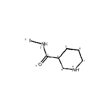 O=C(NI)C1CCCNC1